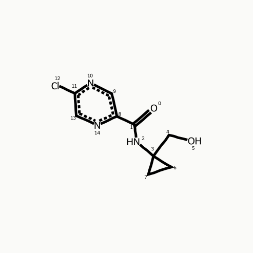 O=C(NC1(CO)CC1)c1cnc(Cl)cn1